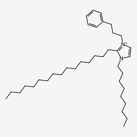 CCCCCCCCCCCCCCCCc1n(CCCCCCCCC)cc[n+]1CCCc1ccccc1